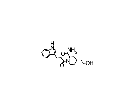 NC(=O)C1CC(CCO)CCN1C(=O)[CH]Cc1c[nH]c2ccccc12